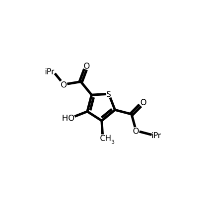 Cc1c(C(=O)OC(C)C)sc(C(=O)OC(C)C)c1O